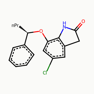 CCC[C@@H](Oc1cc(Cl)cc2c1NC(=O)C2)c1ccccc1